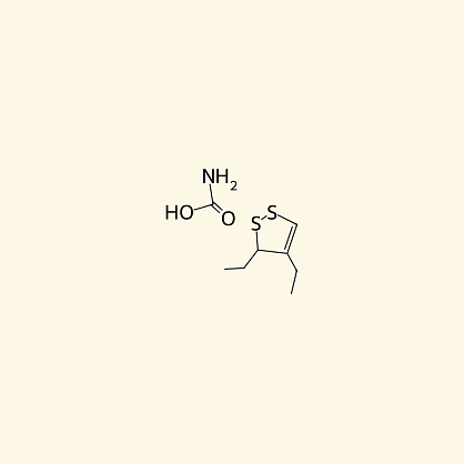 CCC1=CSSC1CC.NC(=O)O